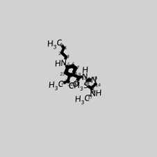 CCCCNc1ccc(C(=O)NC2=NCC(NC)S2)c(C(C)C)c1